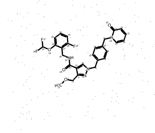 COCc1nn(Cc2ccc(Cn3ccccc3=O)cc2)cc1C(=O)NCc1c(F)cccc1OC(F)F